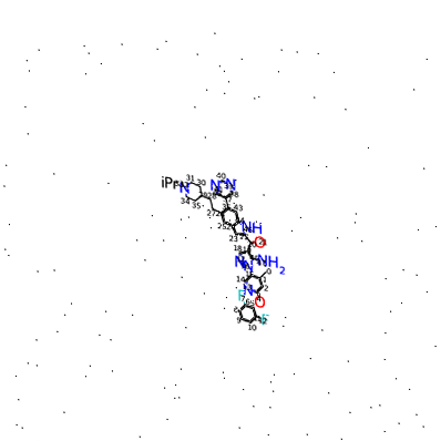 Cc1cc(Oc2c(F)cccc2F)ncc1-n1ncc(C(=O)c2cc3cc(CCC4CCN(C(C)C)CC4)c(-c4cncnc4)cc3[nH]2)c1N